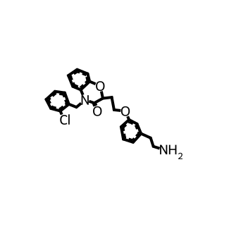 NCCc1cccc(OCCC2Oc3ccccc3N(Cc3ccccc3Cl)C2=O)c1